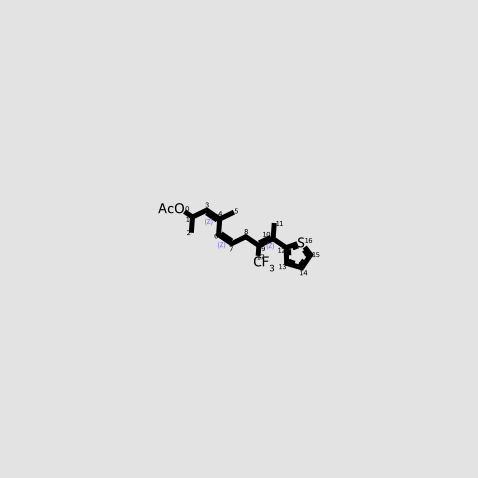 CC(=O)OC(C)/C=C(C)\C=C/C/C(=C(\C)c1cccs1)C(F)(F)F